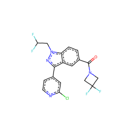 O=C(c1ccc2c(c1)c(-c1ccnc(Cl)c1)nn2CC(F)F)N1CC(F)(F)C1